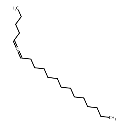 [CH2]CCCC=C=CCCCCCCCCCCCCC